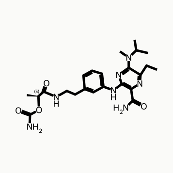 CCc1nc(C(N)=O)c(Nc2cccc(CCNC(=O)[C@H](C)OC(N)=O)c2)nc1N(C)C(C)C